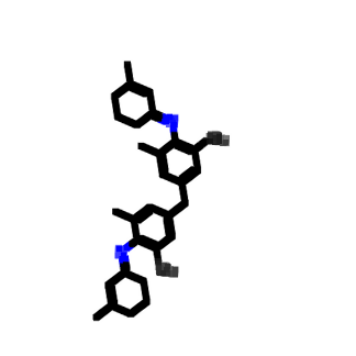 CC1=CC(=Nc2c(C)cc(Cc3cc(C)c(N=C4C=C(C)CCC4)c(C(C)(C)C)c3)cc2C(C)(C)C)CCC1